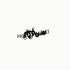 O=C(O)c1ccc2nc(Cc3cc(F)c(-c4cccc(OCc5ccc(Cl)cn5)n4)cc3F)n(CC3CCO3)c2n1